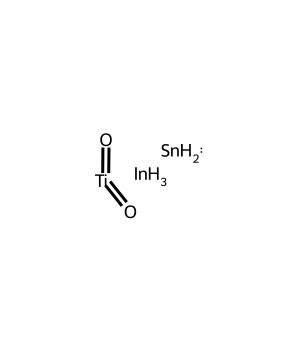 [InH3].[O]=[Ti]=[O].[SnH2]